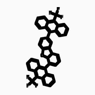 FC(F)(F)c1c2ccccc2c(C2=CC=CC3c4cc(-c5c6ccccc6c(C(F)(F)F)c6ccccc56)ccc4OC23)c2ccccc12